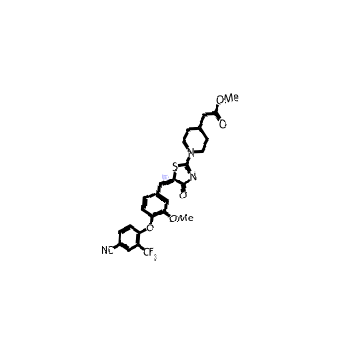 COC(=O)CC1CCN(C2=NC(=O)/C(=C\c3ccc(Oc4ccc(C#N)cc4C(F)(F)F)c(OC)c3)S2)CC1